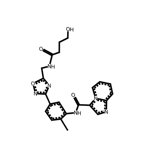 Cc1ccc(-c2noc(CNC(=O)CCCO)n2)cc1NC(=O)c1cnc2ccccn12